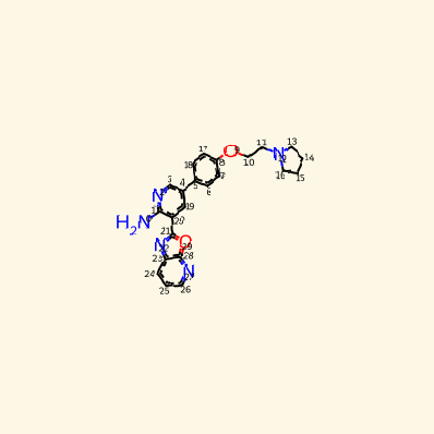 Nc1ncc(-c2ccc(OCCN3CCCC3)cc2)cc1-c1nc2cccnc2o1